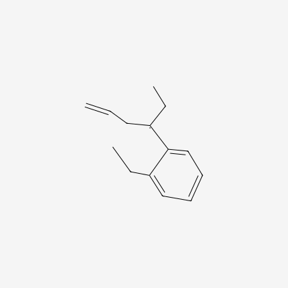 C=CC[C](CC)c1ccccc1CC